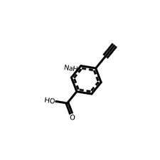 C#Cc1ccc(C(=O)O)cc1.[NaH]